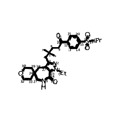 CCn1nc(CC(C)(C)CCC(=O)c2ccc(S(=O)(=O)C(C)C)cc2)c2c1C(=O)NCC1(CCOCC1)C2